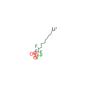 CCCCCCCCC(F)C(F)(F)C(F)(F)S(=O)(=O)[O-].[Li+]